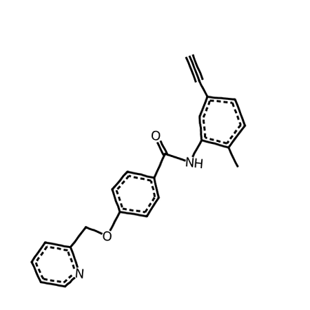 C#Cc1ccc(C)c(NC(=O)c2ccc(OCc3ccccn3)cc2)c1